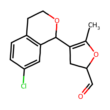 CC1=C(C2OCCc3ccc(Cl)cc32)CC(C=O)O1